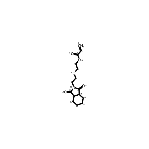 C=CC(=O)OCCOCCN1C(=O)C2CCCCC2C1=O